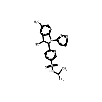 Cc1cnc2c(c1)C(C#N)C(c1ccc(S(=O)(=O)N[C@@H](C)C(F)(F)F)cn1)N2c1cccnn1